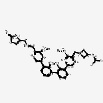 COc1nc(-c2cccc(-c3cccc(-c4cnc(CN5CC(OC(F)F)C5)c(OC)n4)c3Cl)c2Cl)cnc1CNCC1CCC(=O)N1